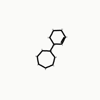 C1=CC([C]2CCCCCC2)CCC1